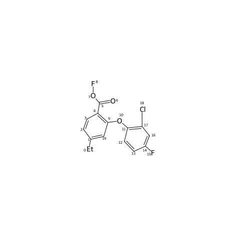 CCc1ccc(C(=O)OF)c(Oc2ccc(F)cc2Cl)c1